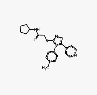 Cc1ccc(-n2c(SCC(=O)NC3CCCC3)nnc2-c2ccncc2)cc1